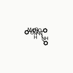 COC(=O)[C@H](CN(CCNCc1ccccc1)Cc1ccccc1)NC(=O)OCc1ccccc1